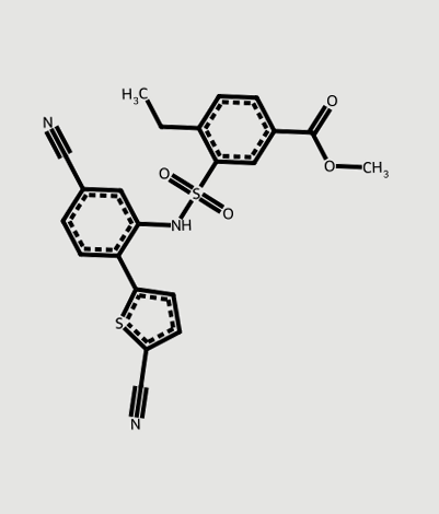 CCc1ccc(C(=O)OC)cc1S(=O)(=O)Nc1cc(C#N)ccc1-c1ccc(C#N)s1